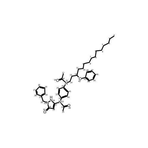 CCCCCCCCCCCCC(CCN(C(C)=O)c1ccc(N(C(C)=O)c2cc(=O)n(Cc3ccccc3)[nH]2)cc1)Oc1ccccc1